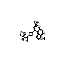 CC(C)CS(=O)(=O)N[C@H]1C[C@@H](C2=CB(O)Oc3cnc4[nH]ccc4c32)C1